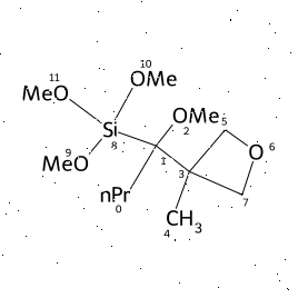 CCCC(OC)(C1(C)COC1)[Si](OC)(OC)OC